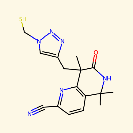 CC1(C)NC(=O)C(C)(Cc2cn(CS)nn2)c2nc(C#N)ccc21